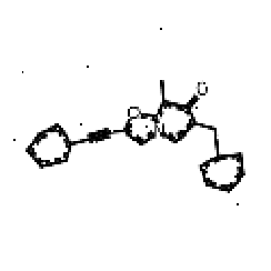 Cc1c(=O)c(Cc2ccccc2)cn2cc(C#Cc3ccccc3)oc12